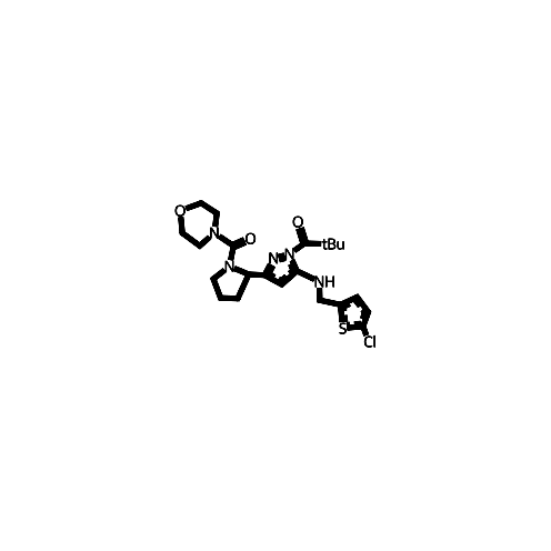 CC(C)(C)C(=O)n1nc(C2CCCN2C(=O)N2CCOCC2)cc1NCc1ccc(Cl)s1